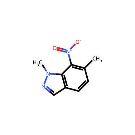 Cc1ccc2cnn(C)c2c1[N+](=O)[O-]